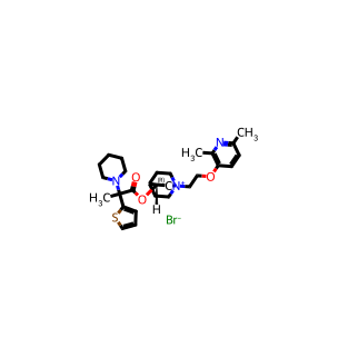 Cc1ccc(OCC[N+]23CCC(CC2)[C@@H](OC(=O)C(C)(c2cccs2)N2CCCCC2)C3)c(C)n1.[Br-]